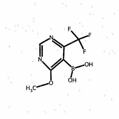 COc1ncnc(C(F)(F)F)c1B(O)O